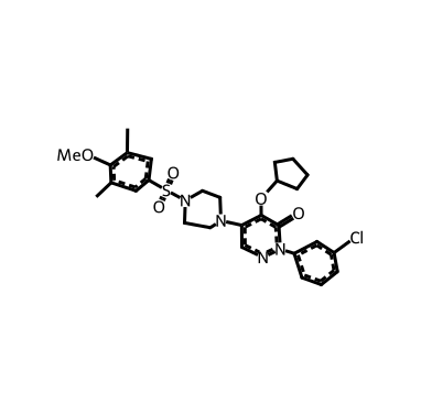 COc1c(C)cc(S(=O)(=O)N2CCN(c3cnn(-c4cccc(Cl)c4)c(=O)c3OC3CCCC3)CC2)cc1C